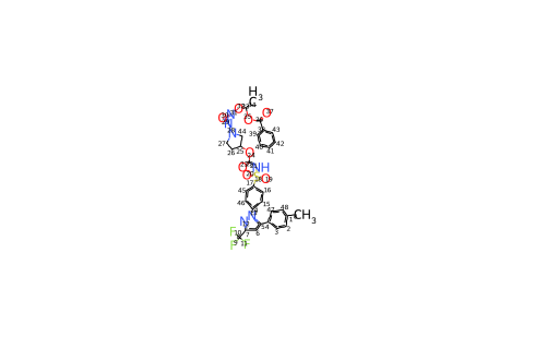 Cc1ccc(-c2cc(C(F)(F)F)nn2-c2ccc(S(=O)(=O)NC(=O)OC3CCN(n4on4OC(C)OC(=O)c4ccccc4)C3)cc2)cc1